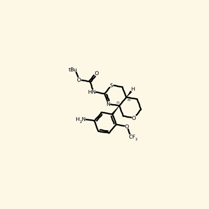 CC(C)(C)OC(=O)NC1=N[C@@]2(c3cc(N)ccc3OC(F)(F)F)COCC[C@H]2CS1